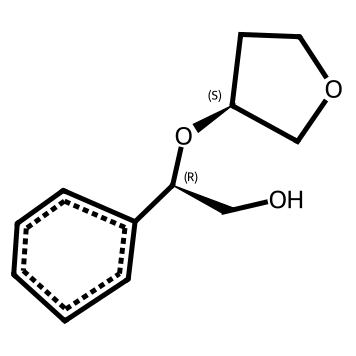 OC[C@H](O[C@H]1CCOC1)c1ccccc1